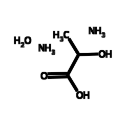 CC(O)C(=O)O.N.N.O